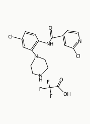 O=C(Nc1ccc(Cl)cc1N1CCNCC1)c1ccnc(Cl)c1.O=C(O)C(F)(F)F